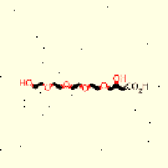 O=C(O)CC(O)COCCOCCOCCOCCO